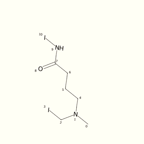 CN(CI)CCCC(=O)NI